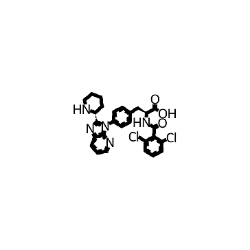 O=C(N[C@@H](Cc1ccc(-n2c([C@H]3CCCCN3)nc3cccnc32)cc1)C(=O)O)c1c(Cl)cccc1Cl